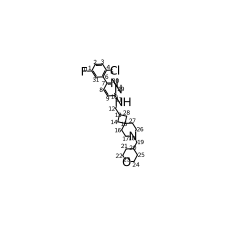 Fc1ccc(Cl)c(-c2ccc(NCC3CC4(CCN(CC5CCOCC5)CC4)C3)nn2)c1